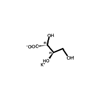 O=C([O-])[C@H](O)[C@H](O)CO.[K+]